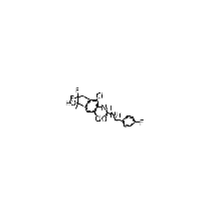 CC1(O)c2cc(Cl)c(NC(=O)NCc3ccc(F)cc3)c(Cl)c2CC1(F)F